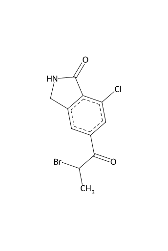 CC(Br)C(=O)c1cc(Cl)c2c(c1)CNC2=O